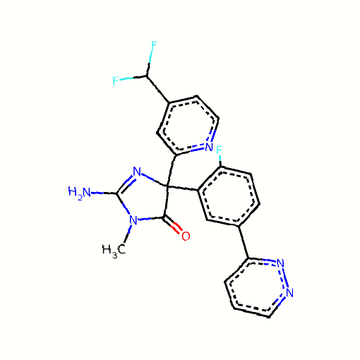 CN1C(=O)C(c2cc(C(F)F)ccn2)(c2cc(-c3cccnn3)ccc2F)N=C1N